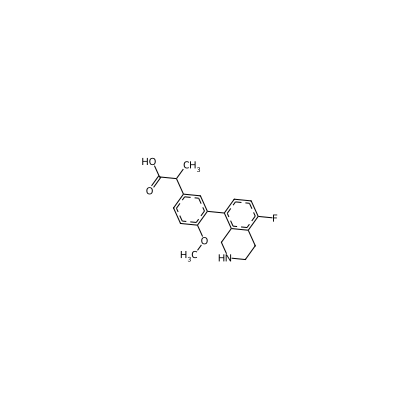 COc1ccc(C(C)C(=O)O)cc1-c1ccc(F)c2c1CNCC2